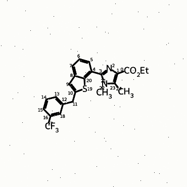 CCOC(=O)c1nc(-c2cccc3cc(Cc4cccc(C(F)(F)F)c4)sc23)n(C)c1C